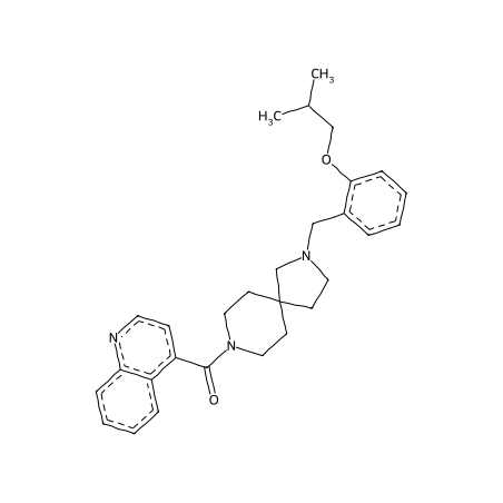 CC(C)COc1ccccc1CN1CCC2(CCN(C(=O)c3ccnc4ccccc34)CC2)C1